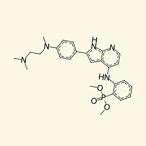 COP(=O)(OC)c1ccccc1Nc1ccnc2[nH]c(-c3ccc(N(C)CCN(C)C)cc3)cc12